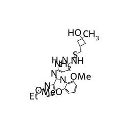 CCOc1cccc(-c2nc(N)c(/C=C(\N)NSCC3CC(C)(O)C3)n2-c2c(OC)cccc2OC)n1